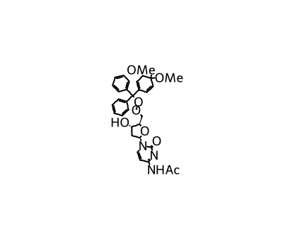 COC1(OC)C=CC(C(OOC[C@H]2O[C@@H](n3ccc(NC(C)=O)nc3=O)C[C@@H]2O)(c2ccccc2)c2ccccc2)=CC1